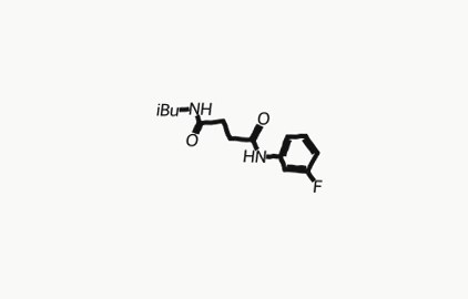 CCC(C)NC(=O)CCC(=O)Nc1cccc(F)c1